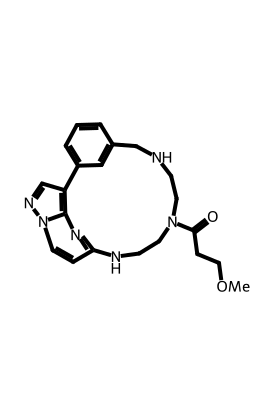 COCCC(=O)N1CCNCc2cccc(c2)-c2cnn3ccc(nc23)NCC1